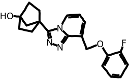 OC12CCC(c3nnc4c(COc5ccccc5F)cccn34)(CC1)C2